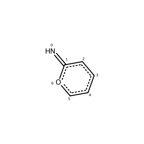 N=c1cccco1